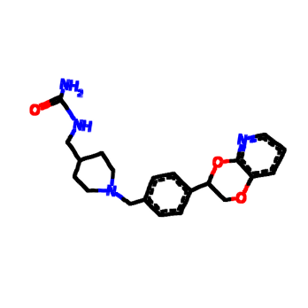 NC(=O)NCC1CCN(Cc2ccc(C3COc4cccnc4O3)cc2)CC1